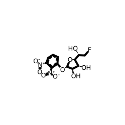 O=[N+]([O-])c1cccc(O[C@@H]2O[C@@H]([C@H](O)CF)[C@H](O)[C@H]2O)c1[N+](=O)[O-]